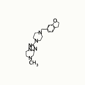 CN1CCn2nc(N3CCN(Cc4ccc5c(c4)OCC5)CC3)nc2C1